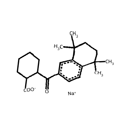 CC1(C)CCC(C)(C)c2cc(C(=O)C3CCCCC3C(=O)[O-])ccc21.[Na+]